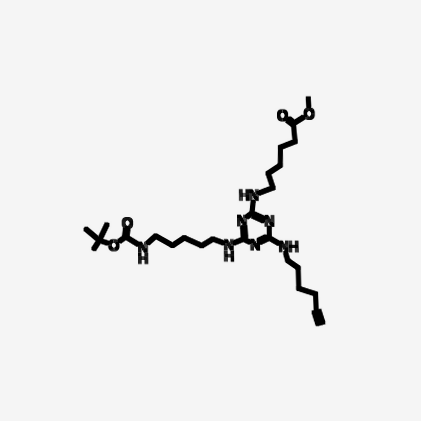 C#CCCCCNc1nc(NCCCCCNC(=O)OC(C)(C)C)nc(NCCCCCC(=O)OC)n1